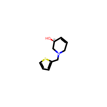 O[C@H]1C=CCN(Cc2cccs2)C1